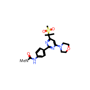 CNC(=O)Nc1ccc(-c2nc(N3CCOCC3)cc(C(C)(C)S(C)(=O)=O)n2)cc1